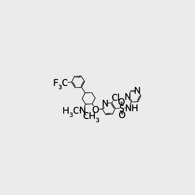 CN(C)C1CC(c2cccc(C(F)(F)F)c2)CCC1Oc1ccc(S(=O)(=O)Nc2ccncn2)c(Cl)n1